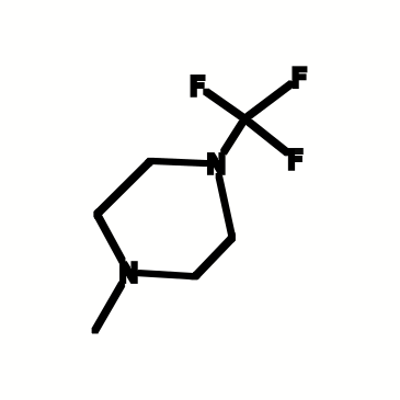 CN1CCN(C(F)(F)F)CC1